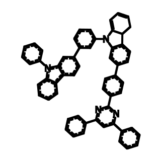 C1=CCC2C(=C1)N(c1cccc(-c3ccc4c5ccccc5n(-c5ccccc5)c4c3)c1)c1cc(-c3ccc(-c4nc(-c5ccccc5)cc(-c5ccccc5)n4)cc3)ccc12